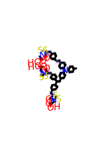 Cc1ccc(N(c2ccc(C=C(c3ccc(/C=C4\SC(=S)N(CC(=O)O)C4=O)cc3)c3ccc(/C=C4\SC(=S)N(CC(=O)O)C4=O)cc3)cc2)c2ccc(/C=C/c3ccc(/C=C4/SC(=S)N(CC(=O)O)C4=O)cc3)cc2)cc1